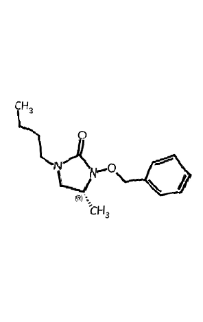 CCCCN1C[C@@H](C)N(OCc2ccccc2)C1=O